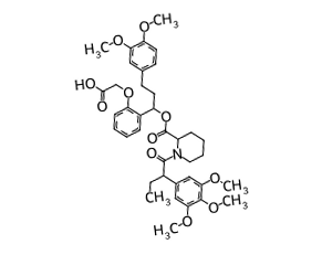 CCC(C(=O)N1CCCCC1C(=O)OC(CCc1ccc(OC)c(OC)c1)c1ccccc1OCC(=O)O)c1cc(OC)c(OC)c(OC)c1